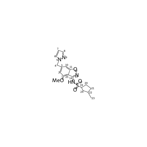 COc1cc(Cn2cccn2)cc2onc(NS(=O)(=O)C3CCC(C)C3)c12